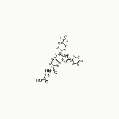 CC(C)(C)C1CCC(N(Cc2ccc(C(=O)NCCC(=O)O)cc2)c2nc(-c3ccccc3)cs2)CC1